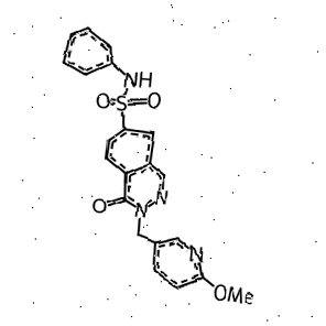 COc1ccc(Cn2ncc3cc(S(=O)(=O)Nc4ccccc4)ccc3c2=O)cn1